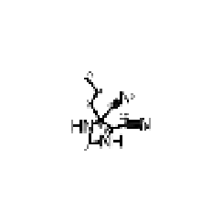 CCCC1(C#N)NCNC1C#N